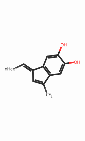 CCCCCC/C=C1\C=C(C(F)(F)F)c2cc(O)c(O)cc21